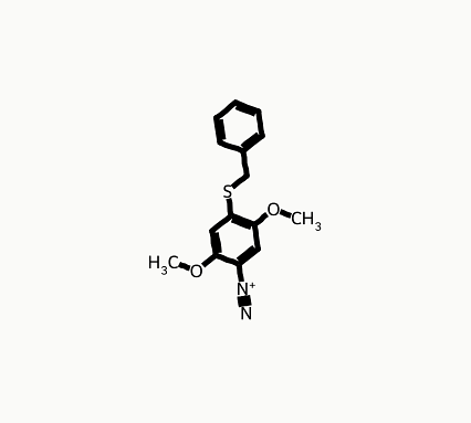 COc1cc(SCc2ccccc2)c(OC)cc1[N+]#N